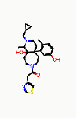 Cc1ccc(O)cc1C12CCN(C(=O)Cc3cscn3)CCC1(O)C(C)N(CC1CC1)CC2